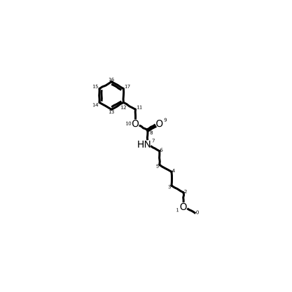 COCCCCCNC(=O)OCc1ccccc1